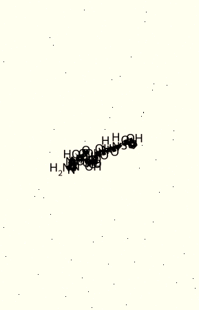 CC(C)(COP(=O)(O)OP(=O)(O)OC[C@H]1O[C@@H](n2cnc3c(N)ncnc32)[C@H](O)[C@@H]1OP(=O)(O)O)[C@@H](O)C(=O)NCCC(=O)NCCSC(=O)c1ccccc1O